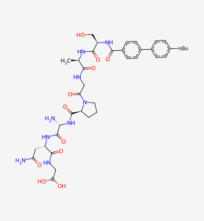 CCCCc1ccc(-c2ccc(C(=O)N[C@H](CO)C(=O)N[C@H](C)C(=O)NCC(=O)N3CCC[C@H]3C(=O)N[C@@H](N)C(=O)N[C@@H](CC(N)=O)C(=O)NCB(O)O)cc2)cc1